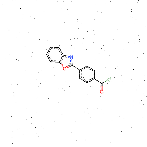 O=C(Cl)c1ccc(-c2nc3ccccc3o2)cc1